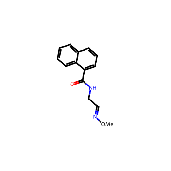 CON=CCNC(=O)c1cccc2ccccc12